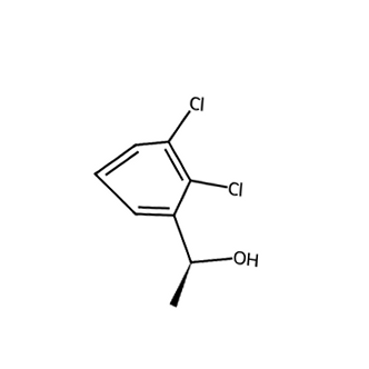 C[C@H](O)c1cccc(Cl)c1Cl